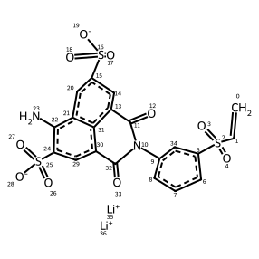 C=CS(=O)(=O)c1cccc(N2C(=O)c3cc(S(=O)(=O)[O-])cc4c(N)c(S(=O)(=O)[O-])cc(c34)C2=O)c1.[Li+].[Li+]